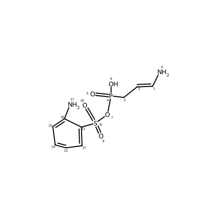 NC=CCP(=O)(O)OS(=O)(=O)c1ccccc1N